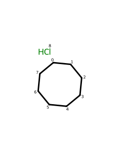 C1CCCCCCC1.Cl